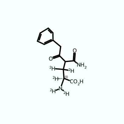 [2H]N([2H])[C@]([2H])(C(=O)O)C([2H])([2H])C(C(N)=O)C(=O)Cc1ccccc1